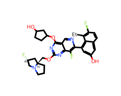 CCc1c(F)ccc2cc(O)cc(-c3ncc4c(OC5CCC(O)C5)nc(OC[C@@]56CCCN5C[C@H](F)C6)nc4c3F)c12